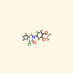 O=C(CCl)N(Cc1cccs1)c1ccc2c(c1)OCCO2